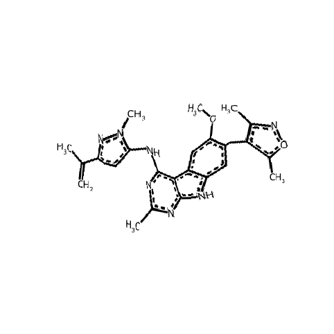 C=C(C)c1cc(Nc2nc(C)nc3[nH]c4cc(-c5c(C)noc5C)c(OC)cc4c23)n(C)n1